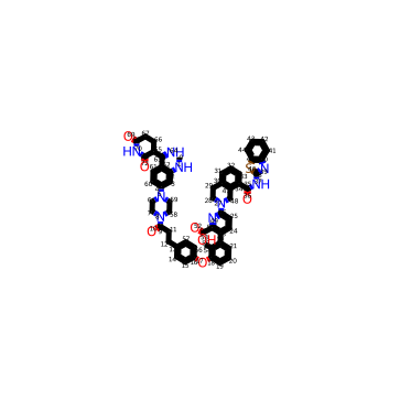 CNc1cc(N2CCN(C(=O)CCc3ccc(Oc4cccc(-c5ccc(N6CCc7cccc(C(=O)Nc8nc9ccccc9s8)c7C6)nc5C(=O)O)c4C)cc3)CC2)ccc1C(=N)C1CCC(=O)NC1=O